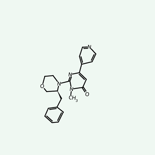 Cn1c(N2CCOC[C@@H]2Cc2ccccc2)nc(-c2ccncc2)cc1=O